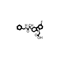 CN(C(=O)NCc1ccccc1)[C@H]1CCc2c(c3cc(F)ccc3n2CC(=O)O)C1